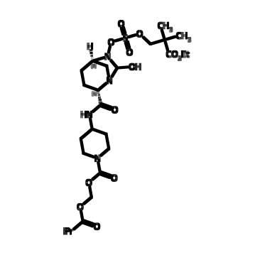 CCOC(=O)C(C)(C)COS(=O)(=O)ON1C(O)N2C[C@H]1CC[C@H]2C(=O)NC1CCN(C(=O)OCOC(=O)C(C)C)CC1